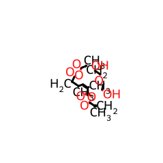 C=C(C)C(=O)OC(=O)C(=C)C(C)C=C(C)C(=O)OC(=O)C(=C)C.OCCOCCO